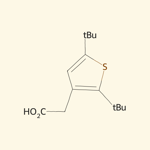 CC(C)(C)c1cc(CC(=O)O)c(C(C)(C)C)s1